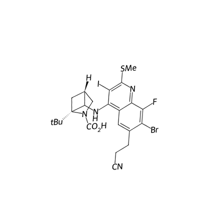 CSc1nc2c(F)c(Br)c(CCC#N)cc2c(NC2[C@H]3CN(C(=O)O)[C@@]2(C(C)(C)C)C3)c1I